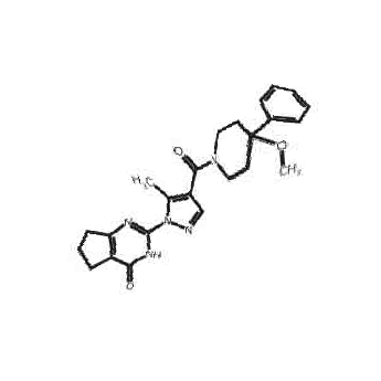 COC1(c2ccccc2)CCN(C(=O)c2cnn(-c3nc4c(c(=O)[nH]3)CCC4)c2C)CC1